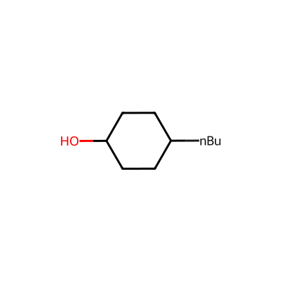 CCCCC1CCC(O)CC1